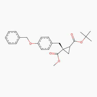 COC(=O)[C@@]1(Cc2ccc(OCc3ccccc3)cc2)CC1C(=O)OC(C)(C)C